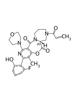 C=CC(=O)N1CCCN2C(=O)c3c(N4CCOCC4)nc(-c4c(O)cccc4F)c(C)c3OC(=O)[C@H]2C1